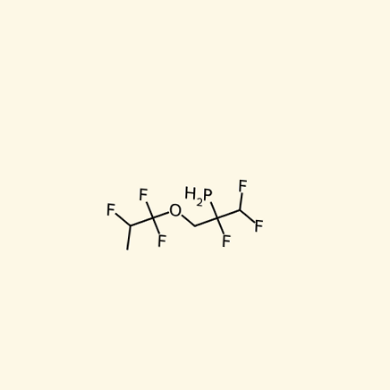 CC(F)C(F)(F)OCC(F)(P)C(F)F